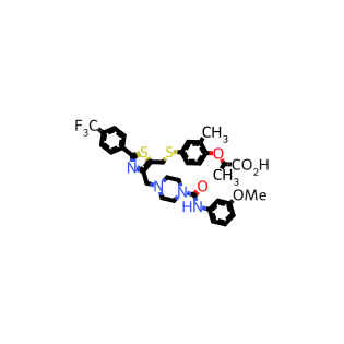 COc1cccc(NC(=O)N2CCN(Cc3nc(-c4ccc(C(F)(F)F)cc4)sc3CSc3ccc(OC(C)C(=O)O)c(C)c3)CC2)c1